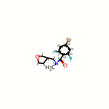 CN(CC1CCOC1)C(=O)c1c(F)cc(Br)cc1F